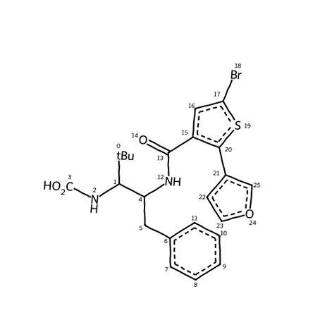 CC(C)(C)C(NC(=O)O)C(Cc1ccccc1)NC(=O)c1cc(Br)sc1-c1ccoc1